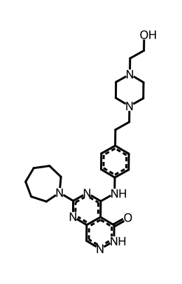 O=c1[nH]ncc2nc(N3CCCCCC3)nc(Nc3ccc(CCN4CCN(CCO)CC4)cc3)c12